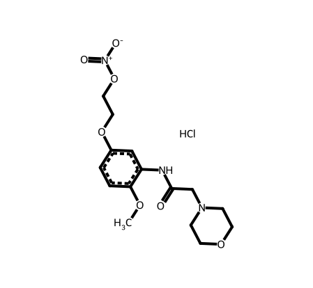 COc1ccc(OCCO[N+](=O)[O-])cc1NC(=O)CN1CCOCC1.Cl